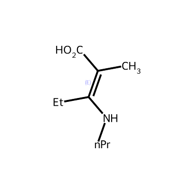 CCCN/C(CC)=C(\C)C(=O)O